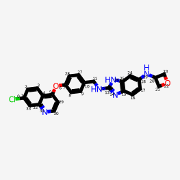 Clc1ccc2c(Oc3ccc(CNc4nc5ccc(NC6COC6)cc5[nH]4)cc3)ccnc2c1